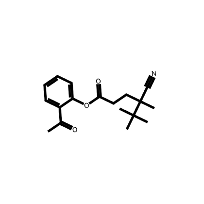 CC(=O)c1ccccc1OC(=O)CCC(C)(C#N)C(C)(C)C